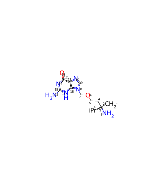 [CH2]C(C)[C@@]([CH2])(N)CCOCn1cnc2c(=O)nc(N)[nH]c21